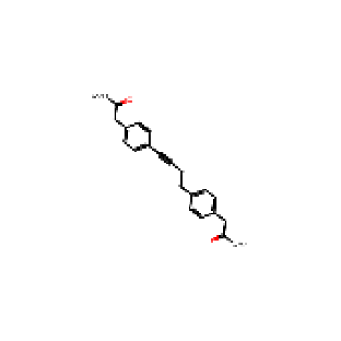 COC(=O)Cc1ccc(C#CCCc2ccc(CC(=O)OC)cc2)cc1